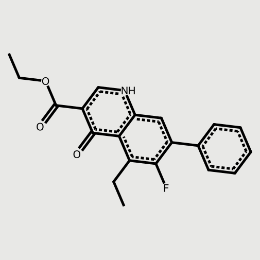 CCOC(=O)c1c[nH]c2cc(-c3ccccc3)c(F)c(CC)c2c1=O